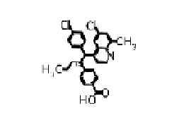 CCC[C@H](c1ccc(C(=O)O)cc1)C(c1ccc(Cl)cc1)c1ccnc2c(C)cc(Cl)cc12